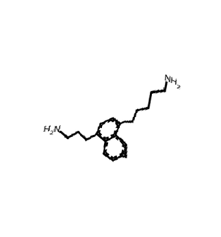 NCCCCCc1ccc(CCCN)c2ccccc12